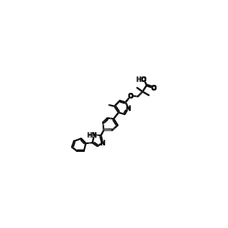 Cc1cc(OCC(C)(C)C(=O)O)ncc1-c1ccc(-c2ncc(-c3ccccc3)[nH]2)cc1